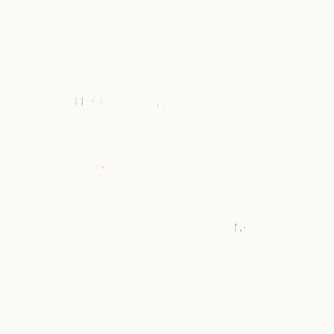 O=C(O)C(=O)C(=O)c1ccc([N+](=O)[O-])cc1